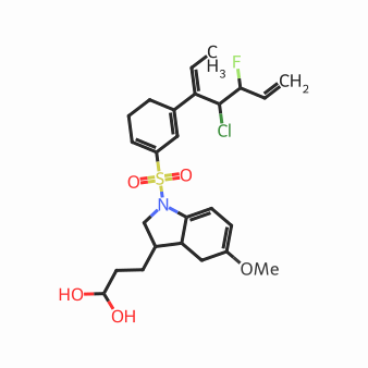 C=CC(F)C(Cl)/C(=C\C)C1=CC(S(=O)(=O)N2CC(CCC(O)O)C3CC(OC)=CC=C32)=CCC1